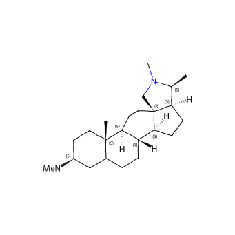 CN[C@H]1CC[C@@]2(C)C(CC[C@H]3[C@@H]4CC[C@@H]5[C@H](C)N(C)C[C@@]54CC[C@@H]32)C1